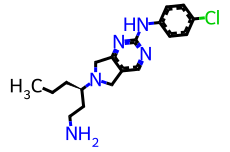 CCC[C@H](CCN)N1Cc2cnc(Nc3ccc(Cl)cc3)nc2C1